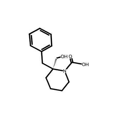 O=C(O)N1CCCC[C@@]1(CO)Cc1ccccc1